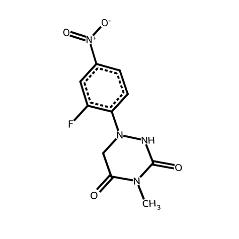 CN1C(=O)CN(c2ccc([N+](=O)[O-])cc2F)NC1=O